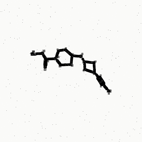 CC(=O)C#C[C@H]1C[C@H](OC2CCN(C(=O)OC(C)(C)C)CC2)C1